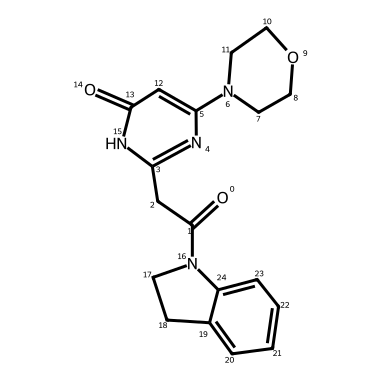 O=C(Cc1nc(N2CCOCC2)cc(=O)[nH]1)N1CCc2ccccc21